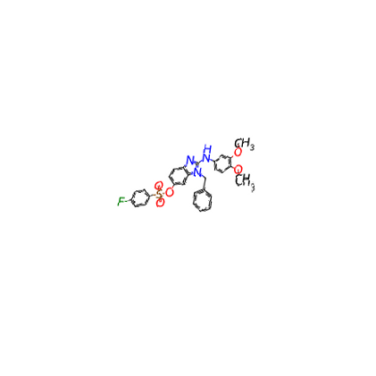 COc1ccc(Nc2nc3ccc(OS(=O)(=O)c4ccc(F)cc4)cc3n2Cc2ccccc2)cc1OC